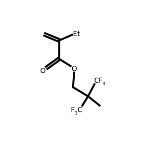 C=C(CC)C(=O)OCC(C)(C(F)(F)F)C(F)(F)F